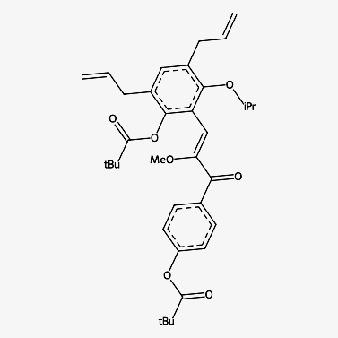 C=CCc1cc(CC=C)c(OC(C)C)c(C=C(OC)C(=O)c2ccc(OC(=O)C(C)(C)C)cc2)c1OC(=O)C(C)(C)C